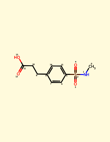 CNS(=O)(=O)c1ccc(CCC(=O)O)cc1